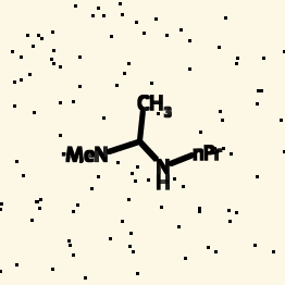 CCCNC(C)[N]C